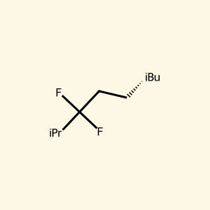 CC[C@@H](C)CCC(F)(F)C(C)C